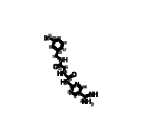 N=C(N)c1cnc(NC(=O)NCC(=O)NCc2cccc(Br)c2)nc1